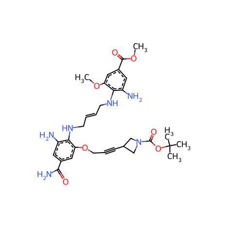 COC(=O)c1cc(N)c(NC/C=C/CNc2c(N)cc(C(N)=O)cc2OCC#CC2CN(C(=O)OC(C)(C)C)C2)c(OC)c1